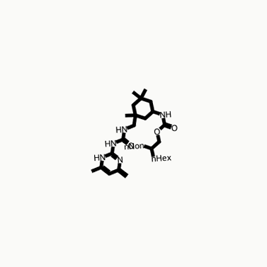 C=C1C=C(C)NC(NC(=O)NCC2(C)CC(NC(=O)OCC(CCCCCC)CCCCCCCCC)CC(C)(C)C2)=N1